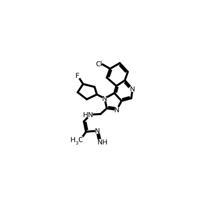 C/C(=C/NCc1nc2cnc3ccc(Cl)cc3c2n1C1CCC(F)C1)N=N